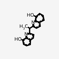 CC(c1ccc2cccc(O)c2n1)c1ccc2cccc(O)c2n1